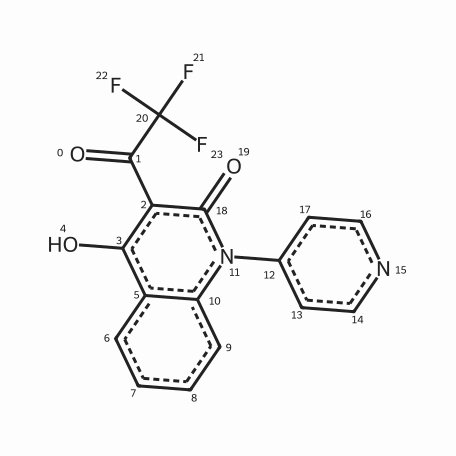 O=C(c1c(O)c2ccccc2n(-c2ccncc2)c1=O)C(F)(F)F